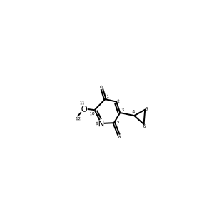 C=c1cc(C2CC2)c(=C)nc1OC